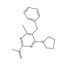 CC(=O)c1nc(C)c(Cc2ccccc2)c(N2CCCC2)n1